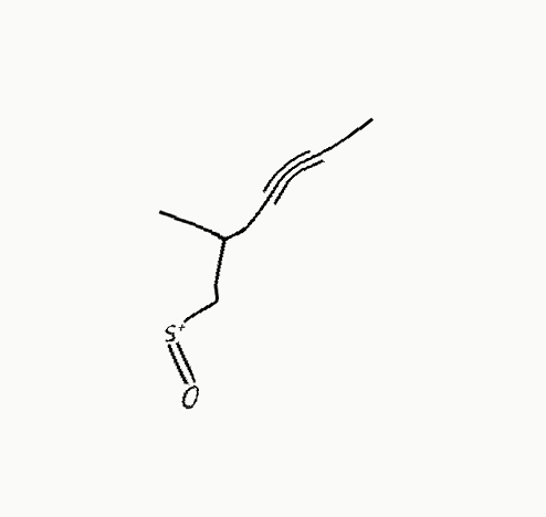 CC#CC(C)C[S+]=O